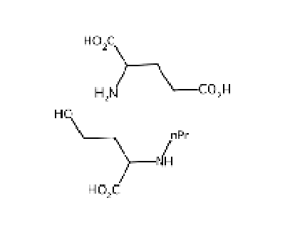 CCCNC(CCO)C(=O)O.NC(CCC(=O)O)C(=O)O